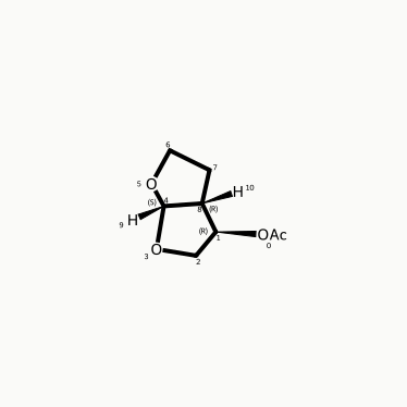 CC(=O)O[C@H]1CO[C@@H]2OCC[C@@H]21